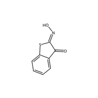 O=C1C(=NO)Sc2ccccc21